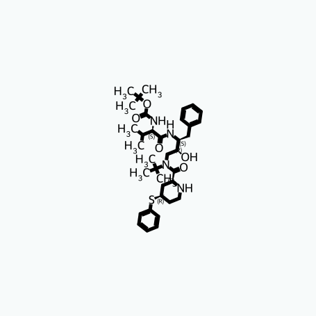 CC(C)[C@H](NC(=O)OC(C)(C)C)C(=O)N[C@@H](Cc1ccccc1)[C@H](O)CN(C(=O)[C@@H]1C[C@H](Sc2ccccc2)CCN1)C(C)(C)C